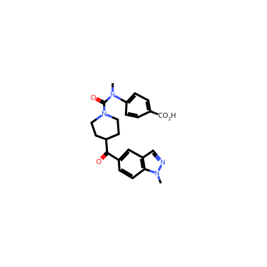 CN(C(=O)N1CCC(C(=O)c2ccc3c(cnn3C)c2)CC1)c1ccc(C(=O)O)cc1